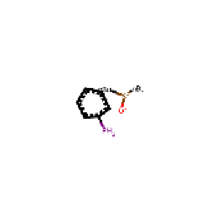 CCCC[S+]([O-])CCCC.Pc1ccccc1